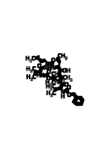 C=CC[C@H](NC(=O)[C@H](CCSC)NC(=O)[C@@H](NC(=O)OC(C)(C)C)C(C)C)[C@@H](O)C[C@@H](C)NC(=O)[C@@H](NC(=O)OCc1ccccc1)C(C)C